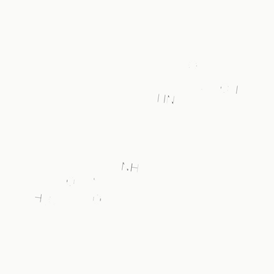 COC(=O)CNc1ccc(NCC(=O)O)cc1